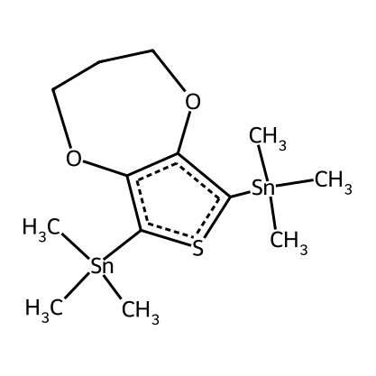 [CH3][Sn]([CH3])([CH3])[c]1s[c]([Sn]([CH3])([CH3])[CH3])c2c1OCCCO2